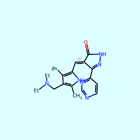 CCN(CC)Cc1c(C)[nH]c(/C=C2/C(=O)NN=C2c2ccncn2)c1C(C)C